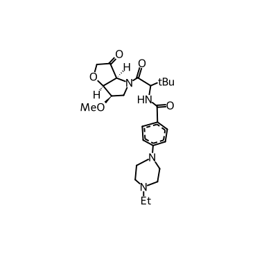 CCN1CCN(c2ccc(C(=O)NC(C(=O)N3C[C@@H](OC)[C@H]4OCC(=O)[C@H]43)C(C)(C)C)cc2)CC1